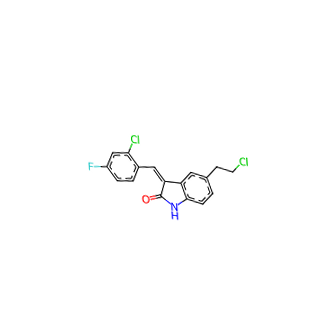 O=C1Nc2ccc(CCCl)cc2C1=Cc1ccc(F)cc1Cl